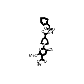 COc1nc(N2CCC(C(=O)NS(=O)(=O)Cc3ccccc3)CC2)c(C#N)cc1C(=O)OC(C)C